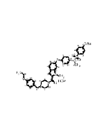 COc1ccc(S(=O)(=O)N(C)c2ccc(Oc3ccc4cc(C(=O)N5CCN(Cc6ccc(OCC(F)(F)F)cc6)CC5)n(C)c4c3)nc2)cc1.Cl